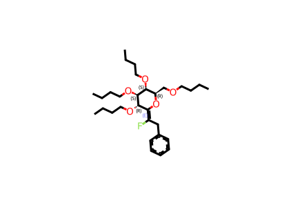 CCCCOC[C@H]1O/C(=C(/F)Cc2ccccc2)[C@H](OCCCC)[C@@H](OCCCC)[C@H]1OCCCC